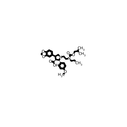 CCCN(CCN1CC(c2ccc3c(c2)OCO3)[C@H](C(=O)O)[C@H]1c1ccc(OC)cc1)C(=O)OCC(C)C